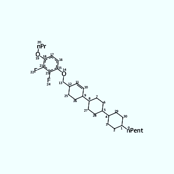 CCCCCC1CCC(C2CCC(C3C=CC(COc4ccc(OCCC)c(F)c4F)CC3)CC2)CC1